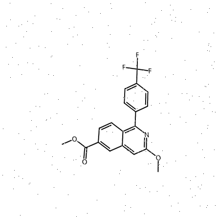 COC(=O)c1ccc2c(-c3ccc(C(F)(F)F)cc3)nc(OC)cc2c1